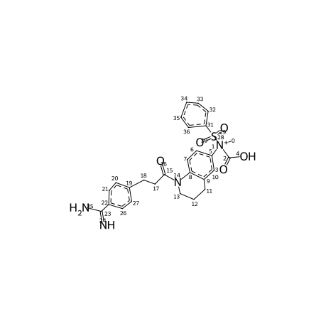 C[N+](C(=O)O)(c1ccc2c(c1)CCCN2C(=O)CCc1ccc(C(=N)N)cc1)S(=O)(=O)c1ccccc1